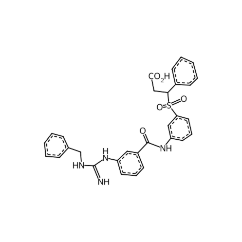 N=C(NCc1ccccc1)Nc1cccc(C(=O)Nc2cccc(S(=O)(=O)C(CC(=O)O)c3ccccc3)c2)c1